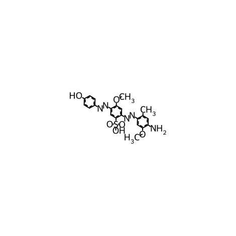 COc1cc(N=Nc2cc(OC)c(N=Nc3ccc(O)cc3)cc2S(=O)(=O)O)c(C)cc1N